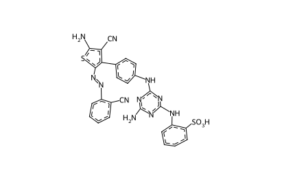 N#Cc1ccccc1N=Nc1sc(N)c(C#N)c1-c1ccc(Nc2nc(N)nc(Nc3ccccc3S(=O)(=O)O)n2)cc1